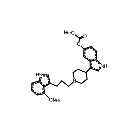 COC(=O)Oc1ccc2[nH]cc(C3CCN(CCCc4c[nH]c5cccc(OC)c45)CC3)c2c1